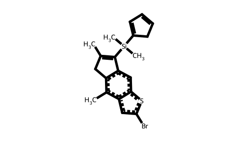 CC1=C([Si](C)(C)C2=CC=CC2)c2cc3sc(Br)cc3c(C)c2C1